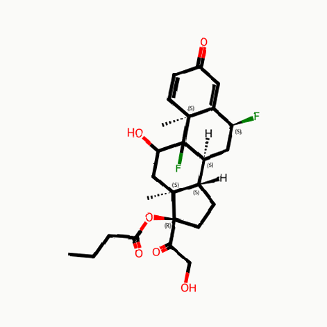 CCCC(=O)O[C@]1(C(=O)CO)CC[C@H]2[C@@H]3C[C@H](F)C4=CC(=O)C=C[C@]4(C)C3(F)C(O)C[C@@]21C